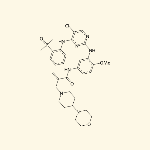 C=C(CN1CCC(N2CCOCC2)CC1)C(=O)Nc1ccc(OC)c(Nc2ncc(Cl)c(Nc3ccccc3P(C)(C)=O)n2)c1